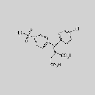 CS(=O)(=O)c1ccc(C(=C(CC(=O)O)C(=O)O)c2ccc(Cl)cc2)cc1